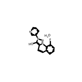 O.OC1=C2C=Cc3cccc(F)c3N2[N]N1c1cccnc1